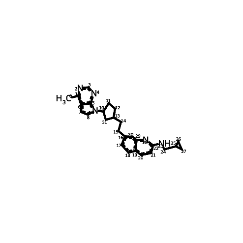 Cc1ncnc2c1ccn2C1CCC(CCc2ccc3ccc(NCC4CC4)nc3c2)C1